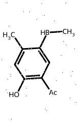 CBc1cc(C(C)=O)c(O)cc1C